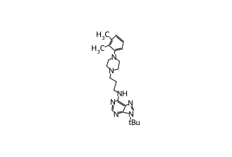 Cc1cccc(N2CCN(CCCNc3ncnc4c3ncn4C(C)(C)C)CC2)c1C